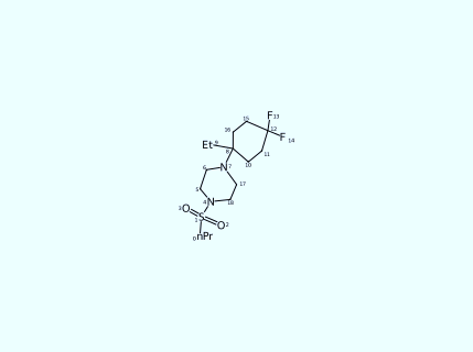 CCCS(=O)(=O)N1CCN(C2(CC)CCC(F)(F)CC2)CC1